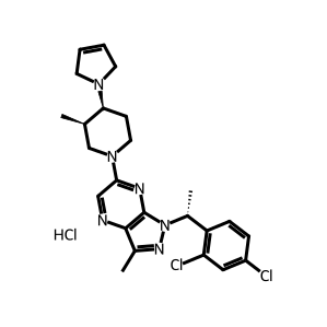 Cc1nn([C@H](C)c2ccc(Cl)cc2Cl)c2nc(N3CC[C@H](N4CC=CC4)[C@H](C)C3)cnc12.Cl